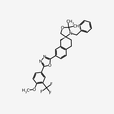 COc1ccc(-c2nnc(-c3ccc4c(c3)C[C@@]3(CC4)COC(C)(C)N3Cc3ccccc3)o2)cc1C(F)(F)F